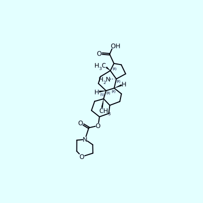 C[C@]12CCC(OC(=O)N3CCOCC3)CC1CC[C@@H]1[C@H]2CC[C@]2(C)C(C(=O)O)CC[C@@]12N